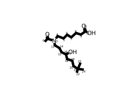 CC(=O)N(CCCCCCC(=O)O)CCCC(O)CCCC(C)(C)C